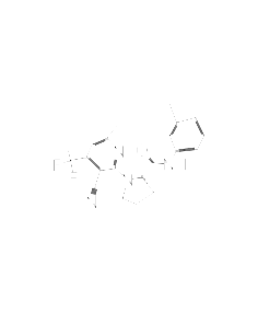 Cc1cccc(NC(=O)[C@@H]2CCCN2c2nc(C)cc(C(F)(F)F)c2C#N)c1